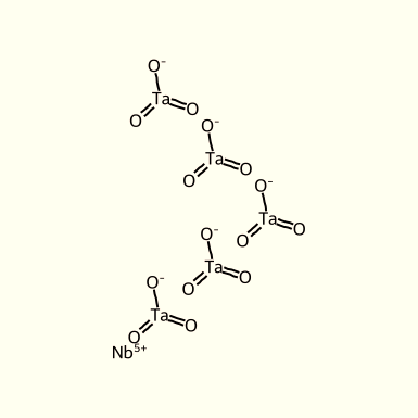 [Nb+5].[O]=[Ta](=[O])[O-].[O]=[Ta](=[O])[O-].[O]=[Ta](=[O])[O-].[O]=[Ta](=[O])[O-].[O]=[Ta](=[O])[O-]